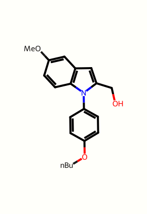 CCCCOc1ccc(-n2c(CO)cc3cc(OC)ccc32)cc1